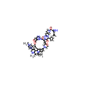 CO[C@@H](C)c1ncc(N2CCN(C)CC2)cc1-c1c2c3cc(ccc3n1CC(F)(F)F)N1CCO[C@@H](C[C@H](NC(=O)[C@H](C3CCCC3)N3CC[C@]4(CCN(C(=O)[C@@H]5N[C@@H]5C5CC5)C4)C3)C(=O)N3CCC[C@H](N3)C(=O)OCC(C)(C)C2)C1